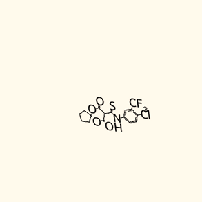 O=C1OC2(CCCC2)OC(=O)C1C(=S)Nc1ccc(Cl)c(C(F)(F)F)c1